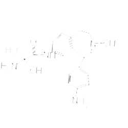 CN1CCc2ccc(NC(=O)C(C)(C)N)cc2C(c2ccc(N)cc2)C1